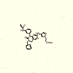 C=CC(=O)Nc1cccc(N2C(=O)N(Cc3ccccc3)Cc3cnc(Nc4cnn(CCOC)c4)nc32)c1